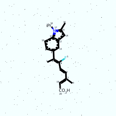 CC(C=CC(F)=C(C)c1ccc2c(c1)cc(C)n2C(C)C)=CC(=O)O